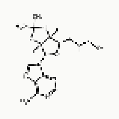 CC(C)CNC[C@H]1O[C@@H](n2cnc3c(N)ncnc32)[C@@H]2OC(C)(C)O[C@@H]21